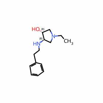 CCN1C[C@@H](O)[C@H](NCCc2ccccc2)C1